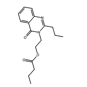 CCCC(=O)OCCn1c(CCC)nc2ccccc2c1=O